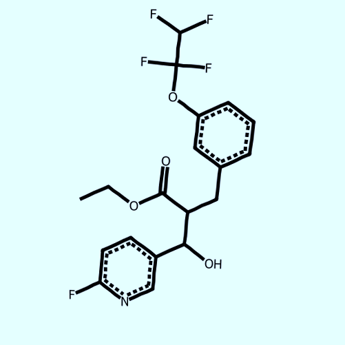 CCOC(=O)C(Cc1cccc(OC(F)(F)C(F)F)c1)C(O)c1ccc(F)nc1